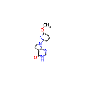 COc1cccc(-n2ccc3c(=O)[nH]cnc32)n1